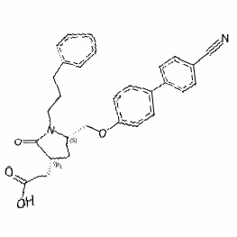 N#Cc1ccc(-c2ccc(OC[C@@H]3C[C@H](CC(=O)O)C(=O)N3CCCc3ccccc3)cc2)cc1